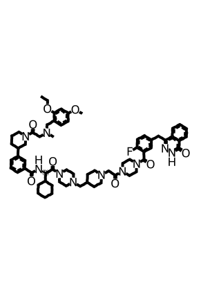 CCOc1cc(OC)ccc1CN(C)CC(=O)N1CCCC(c2cccc(C(=O)N[C@@H](C(=O)N3CCN(CC4CCN(CC(=O)N5CCN(C(=O)c6cc(Cc7n[nH]c(=O)c8ccccc78)ccc6F)CC5)CC4)CC3)C3CCCCC3)c2)C1